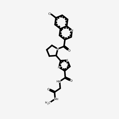 CNC(=O)CNC(=O)c1csc(C2CCCN2C(=O)c2cnc3ccc(Cl)cc3c2)n1